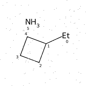 CCC1CCC1.N